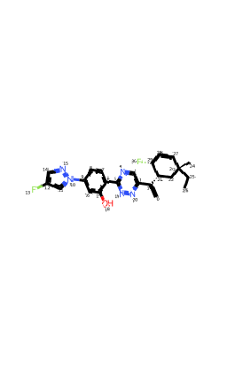 C=C(c1cnc(-c2ccc(-n3cc(F)cn3)cc2O)nn1)[C@H]1C[C@@](C)(CC)C=C[C@H]1F